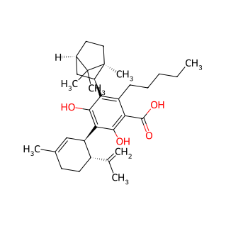 C=C(C)[C@@H]1CCC(C)=C[C@H]1c1c(O)c(C(=O)O)c(CCCCC)c([C@H]2C[C@H]3CC[C@]2(C)C3(C)C)c1O